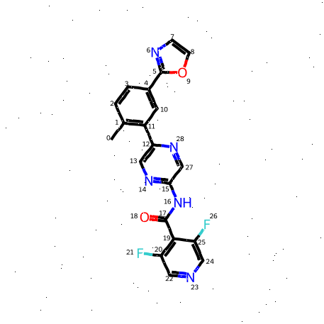 Cc1ccc(-c2ncco2)cc1-c1cnc(NC(=O)c2c(F)cncc2F)cn1